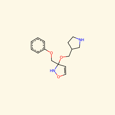 C1=CC(COc2ccccc2)(OCC2CCNC2)NO1